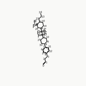 C=CCCc1ccc(C2CCC(C(F)(F)C(F)(F)C3CCC(CCC)C(F)(F)C3)CC2)cc1